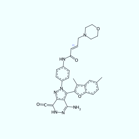 Cc1ccc2oc(-c3c4c(nn3-c3ccc(NC(=O)/C=C/CN5CCOCC5)cc3)C(=C=O)NN=C4N)c(C)c2c1